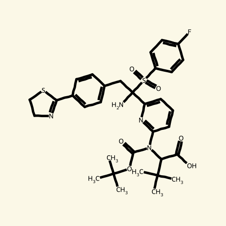 CC(C)(C)OC(=O)N(c1cccc(C(N)(Cc2ccc(C3=NCCS3)cc2)S(=O)(=O)c2ccc(F)cc2)n1)C(C(=O)O)C(C)(C)C